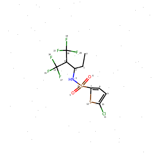 CCC(NS(=O)(=O)c1ccc(Cl)s1)C(C(F)(F)F)C(F)(F)F